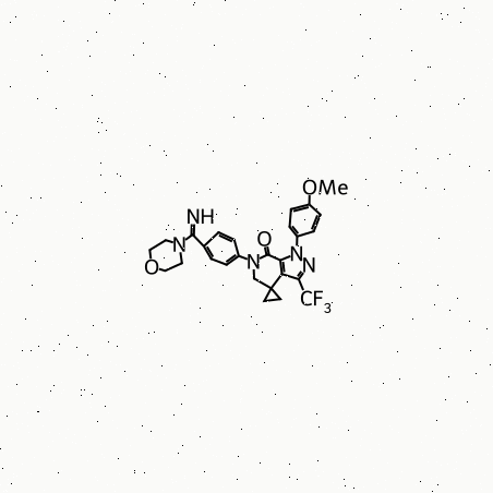 COc1ccc(-n2nc(C(F)(F)F)c3c2C(=O)N(c2ccc(C(=N)N4CCOCC4)cc2)CC32CC2)cc1